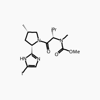 COC(=O)N(C)[C@H](C(=O)N1C[C@@H](C)C[C@H]1c1ncc(I)[nH]1)C(C)C